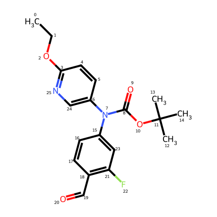 CCOc1ccc(N(C(=O)OC(C)(C)C)c2ccc(C=O)c(F)c2)cn1